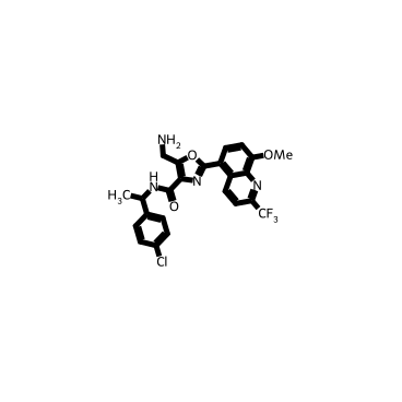 COc1ccc(-c2nc(C(=O)NC(C)c3ccc(Cl)cc3)c(CN)o2)c2ccc(C(F)(F)F)nc12